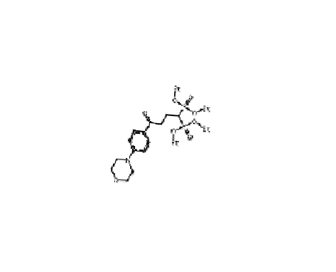 CCOP(=O)(OCC)C(CCC(=O)c1ccc(N2CCOCC2)cc1)P(=O)(OCC)OCC